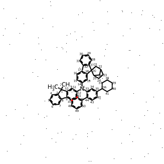 CC1(C)c2ccccc2-c2ccc(N(c3ccc4c(c3)C3(CC5CCC3C5)c3ccccc3-4)c3cc(C4CCCCC4)ccc3-c3ccccc3)cc21